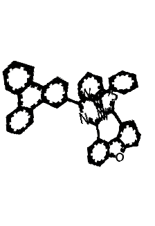 c1ccc(-c2nc(-c3ccc4c5ccccc5c5ccccc5c4c3)nc(-c3cccc4oc5cccc(-c6nc7ccccc7s6)c5c34)n2)cc1